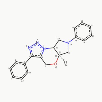 c1ccc(-c2nnn3c2CO[C@@H]2CN(c4ccccc4)CC23)cc1